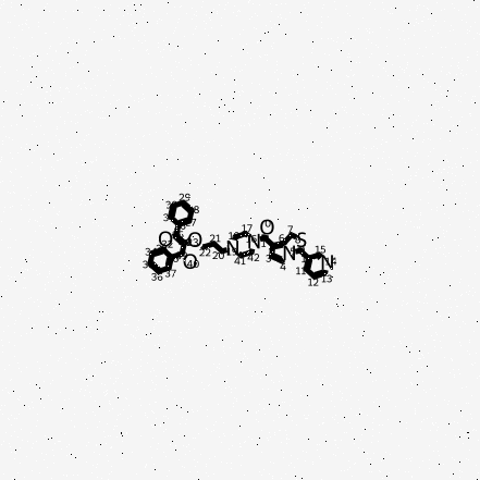 O=C(c1ccn2c1CSC2c1cccnc1)N1CCN(CCCOc2c(-c3ccccc3)oc3ccccc3c2=O)CC1